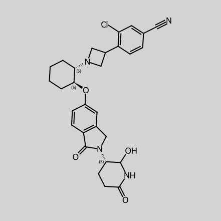 N#Cc1ccc(C2CN([C@H]3CCCC[C@@H]3Oc3ccc4c(c3)CN([C@H]3CCC(=O)NC3O)C4=O)C2)c(Cl)c1